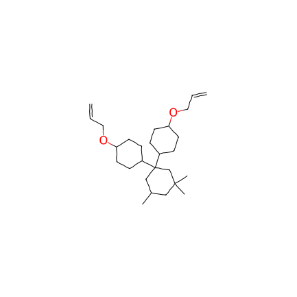 C=CCOC1CCC(C2(C3CCC(OCC=C)CC3)CC(C)CC(C)(C)C2)CC1